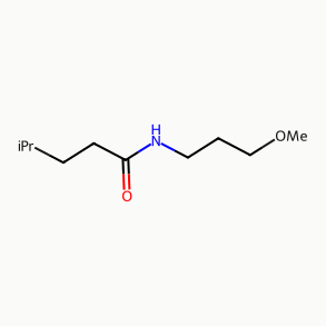 COCCCNC(=O)CCC(C)C